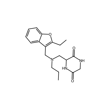 CCCN(Cc1c(CC)oc2ccccc12)CC1NC(=O)CNC1=O